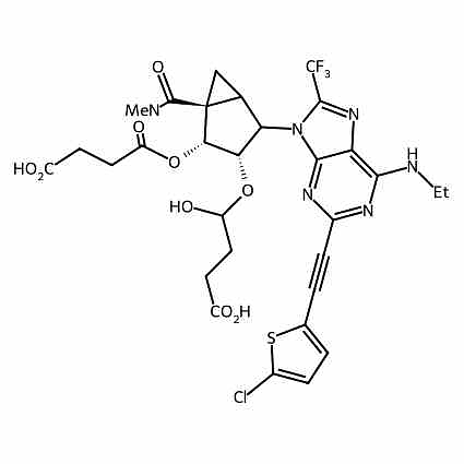 CCNc1nc(C#Cc2ccc(Cl)s2)nc2c1nc(C(F)(F)F)n2C1C2C[C@@]2(C(=O)NC)[C@@H](OC(=O)CCC(=O)O)[C@H]1OC(O)CCC(=O)O